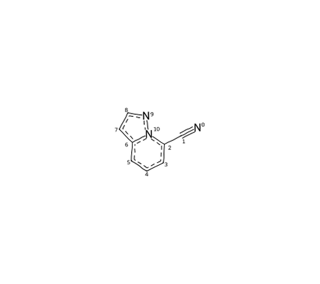 N#Cc1cccc2ccnn12